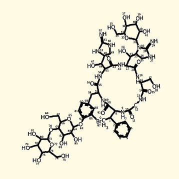 CC(c1ccccc1)C1NC(=O)CNC(=O)C(CO)NC(=O)C(C(O)C2CNC(=N)N2C2OC(CO)C(O)C(O)C2O)NC(=O)C(C(O)C2CNC(=N)N2)NC(=O)C(Cc2ccc(OC3OC(CO)C(OC4OC(CO)C(O)C(O)C4O)C(O)C3O)c(Br)c2)NC1=O